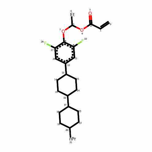 C=CC(=O)OC(CC)Oc1c(F)cc(C2CCC(C3CCC(CCC)CC3)CC2)cc1F